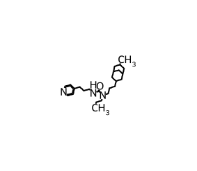 CCCN(CCCC1CC2CC(C)CC(C1)C2)C(=O)NCCCc1ccncc1